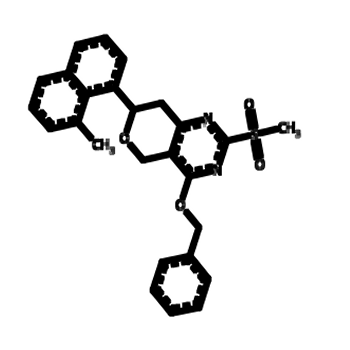 Cc1cccc2cccc(C3Cc4nc(S(C)(=O)=O)nc(OCc5ccccc5)c4CO3)c12